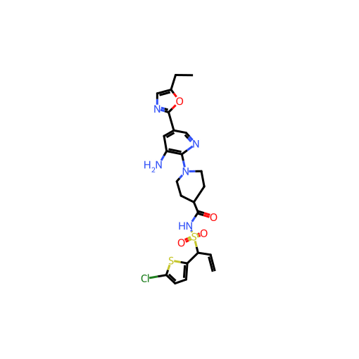 C=CC(c1ccc(Cl)s1)S(=O)(=O)NC(=O)C1CCN(c2ncc(-c3ncc(CC)o3)cc2N)CC1